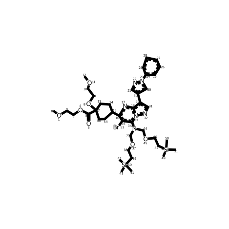 COCCOC(=O)C1(OCCOC)CCC(c2nc3c(-c4cnn(-c5ccccc5)c4)cnn3c(N(COCC[Si](C)(C)C)COCC[Si](C)(C)C)c2Br)CC1